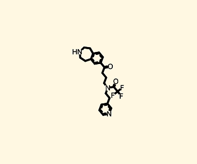 O=C(CCCN(CCc1cccnc1)C(=O)C(F)(F)F)c1ccc2c(c1)CCNCC2